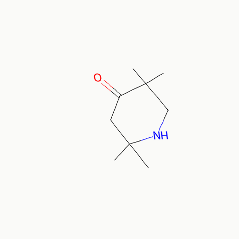 CC1(C)CC(=O)C(C)(C)CN1